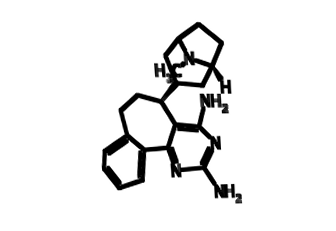 CN1C2CC[C@@H]1CC([C@@H]1CCc3ccccc3-c3nc(N)nc(N)c31)C2